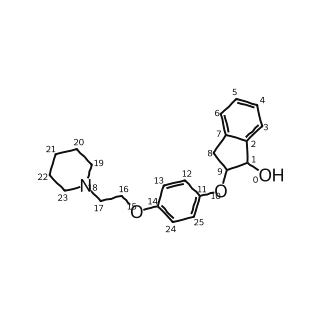 OC1c2ccccc2CC1Oc1ccc(OCCN2CCCCC2)cc1